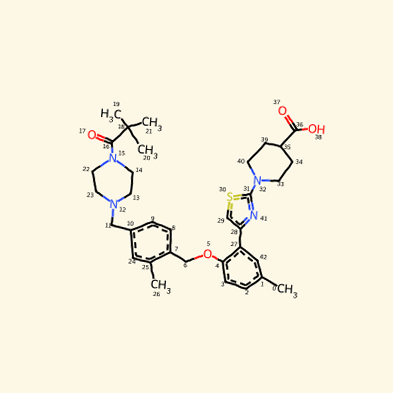 Cc1ccc(OCc2ccc(CN3CCN(C(=O)C(C)(C)C)CC3)cc2C)c(-c2csc(N3CCC(C(=O)O)CC3)n2)c1